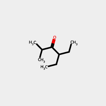 CCC(CC)C(=O)C(C)C